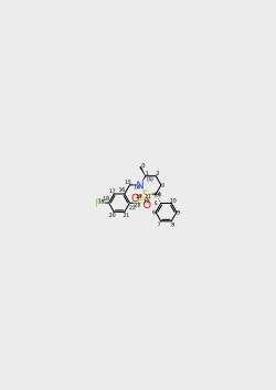 C[C@H]1CC[C@H](c2ccccc2)S(=O)(=O)N1Cc1cc(F)ccc1F